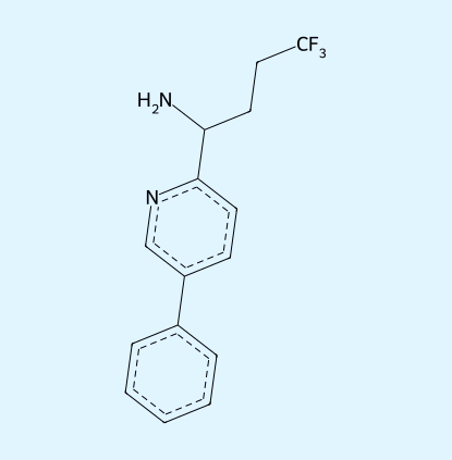 NC(CCC(F)(F)F)c1ccc(-c2ccccc2)cn1